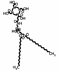 CCCCCCCCCCCCCCCCCC(=O)OCC(COP(=O)(O)OCCNC(=O)CCC(C(=O)O)N1CCN(CC(=O)O)CCN(CC(=O)O)CCN(CC(=O)O)CC1)OC(=O)CCCCCCCCCCCCCCCCC